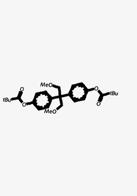 COCC(COC)(c1ccc(OC(=O)C(C)(C)C)cc1)c1ccc(OC(=O)C(C)(C)C)cc1